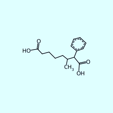 CC(CCCCC(=O)O)C(C(=O)O)c1ccccc1